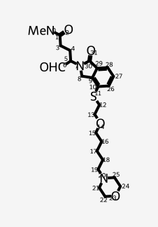 CNC(=O)CCC(C=O)N1Cc2c(SCCOCCCCCN3CCOCC3)cccc2C1=O